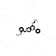 CCO[C@@H]1C[C@H](c2ccccc2)OC2(CCN([C]c3cccnc3OC)CC2)C1